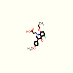 CCCOc1ccc(F)c2c(=O)c(-c3ccc(OC)cc3)cn(CCC(=O)O)c12